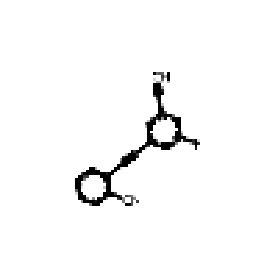 C#Cc1cc(F)cc(C#Cc2ccccc2C#N)c1